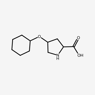 O=C(O)C1CC(OC2CCCCC2)CN1